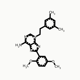 COc1ccc(OC)c(-c2nc3c(N)ncn(CCc4cc(C)cc(C)c4)c-3n2)c1